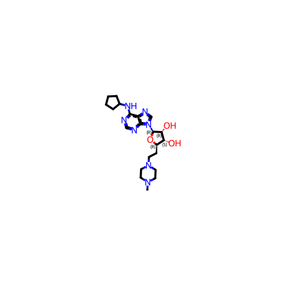 CN1CCN(CC[C@H]2O[C@@H](n3cnc4c(NC5CCCC5)ncnc43)[C@H](O)[C@@H]2O)CC1